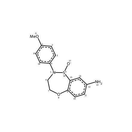 COc1ccc(N2CCOc3ccc(N)cc3[S+]2[O-])cc1